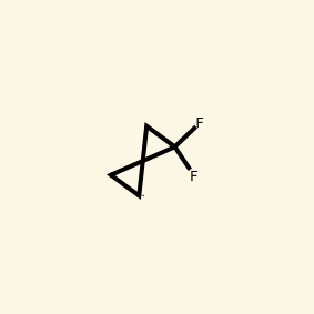 FC1(F)CC12[CH]C2